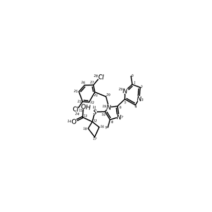 Cc1cncc(-c2nc(C)c(SC3(C(=O)O)CCC3)n2Cc2cc(Cl)ccc2Cl)n1